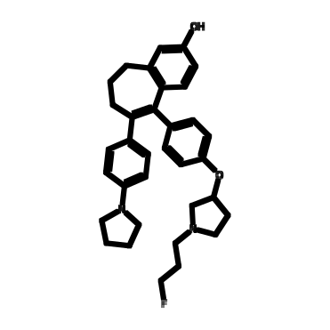 Oc1ccc2c(c1)CCCC(c1ccc(N3CCCC3)cc1)=C2c1ccc(OC2CCN(CCCF)C2)cc1